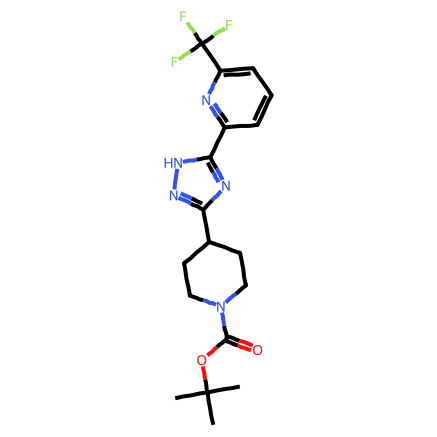 CC(C)(C)OC(=O)N1CCC(c2n[nH]c(-c3cccc(C(F)(F)F)n3)n2)CC1